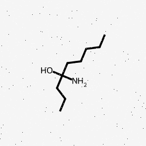 CCCCCC(N)(O)CCC